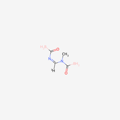 [3H]/C(=N/C(B)=O)N(C)C(B)=O